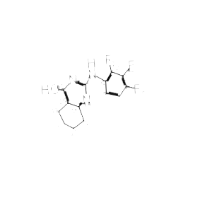 Oc1nc(Nc2ccc(F)c(F)c2F)nc2c1CCCC2